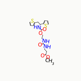 COC(=O)CCNC(=O)NCCOC(=O)NC(Cc1cccs1)c1cccs1